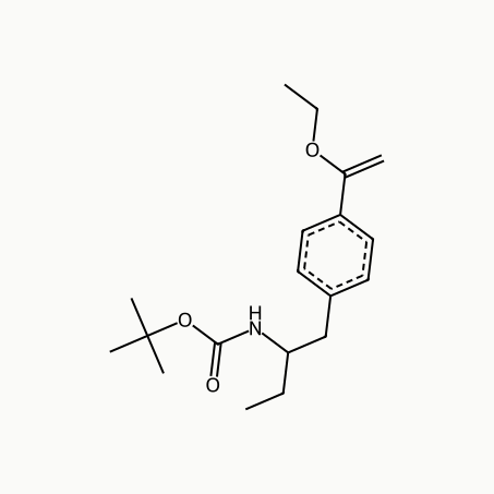 C=C(OCC)c1ccc(CC(CC)NC(=O)OC(C)(C)C)cc1